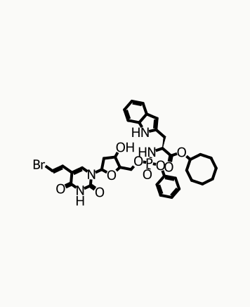 O=C(OC1CCCCCCC1)[C@H](CC1=CC2C=CC=CC2N1)NP(=O)(OCC1OC(n2cc(/C=C/Br)c(=O)[nH]c2=O)CC1O)Oc1ccccc1